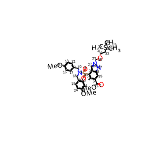 COC(=O)c1cc(S(=O)(=O)N(Cc2ccc(OC)cc2)Cc2ccc(OC)cc2)c2cn(COCC[Si](C)(C)C)nc2c1